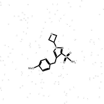 COc1ccc(Cc2cn(C3COC3)nc2S(N)(=O)=O)cc1